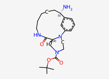 CC(C)(C)OC(=O)N1CCN2c3cccc(c3)[C@@H](N)CCCCCNC(=O)[C@H]2C1